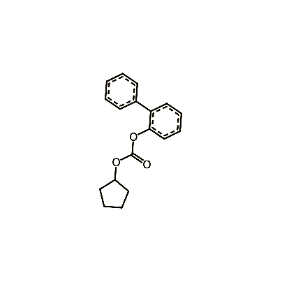 O=C(Oc1ccccc1-c1ccccc1)OC1CCCC1